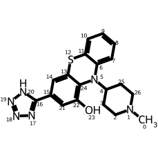 CN1CCC(N2c3ccccc3Sc3cc(-c4nnn[nH]4)cc(O)c32)CC1